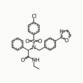 CCNC(=O)[C@@H](c1ccccc1)N(Cc1ccc(-c2ncco2)cc1)S(=O)(=O)c1ccc(Cl)cc1